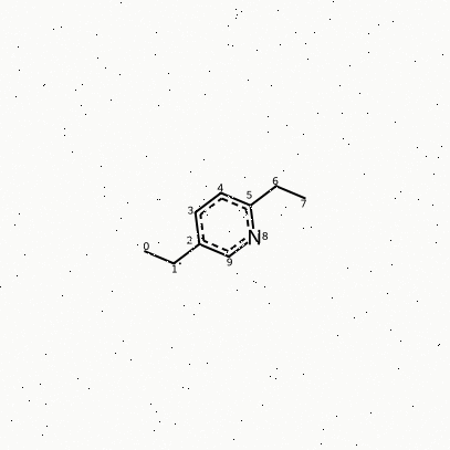 C[CH]c1ccc(CC)nc1